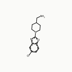 NCC1CCN(c2nc3cc(Cl)ccc3o2)CC1